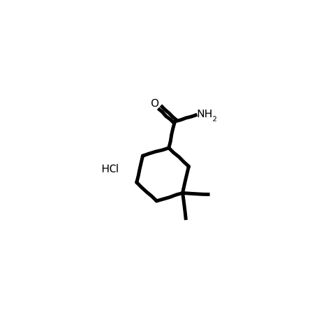 CC1(C)CCCC(C(N)=O)C1.Cl